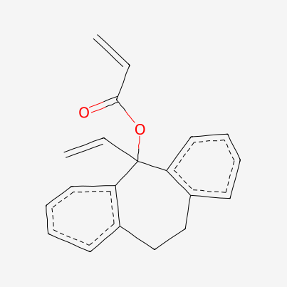 C=CC(=O)OC1(C=C)c2ccccc2CCc2ccccc21